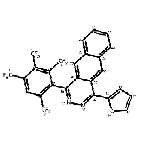 FC(F)(F)c1cc(C(F)(F)F)c(C(F)(F)F)c(C(F)(F)F)c1-c1nnc(-c2ccco2)c2cc3ccccc3cc12